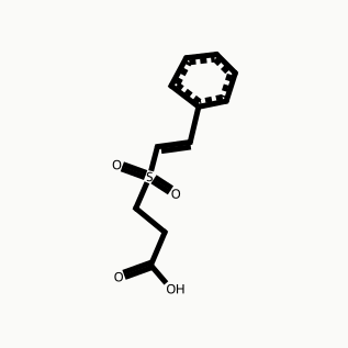 O=C(O)CCS(=O)(=O)C=Cc1ccccc1